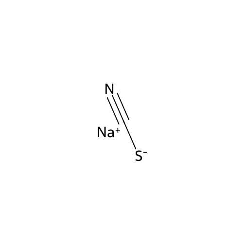 N#C[S-].[Na+]